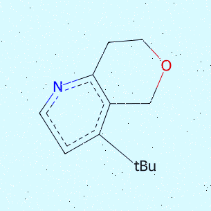 CC(C)(C)c1ccnc2c1COCC2